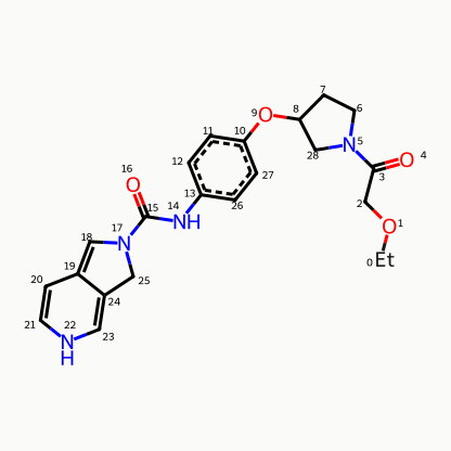 CCOCC(=O)N1CCC(Oc2ccc(NC(=O)N3C=C4C=CNC=C4C3)cc2)C1